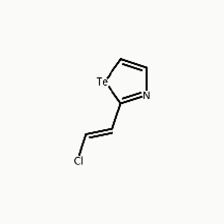 ClC=Cc1ncc[te]1